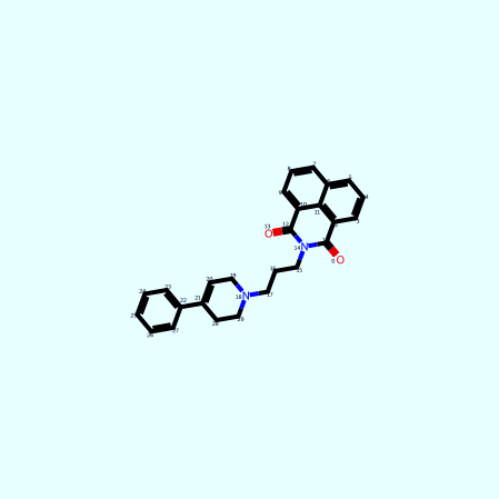 O=C1c2cccc3cccc(c23)C(=O)N1CCCN1CC=C(c2ccccc2)CC1